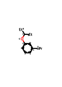 CCCc1cccc(OC(CC)CC)c1